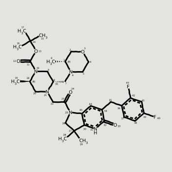 C[C@@H]1COCCN1C[C@H]1CN(C(=O)OC(C)(C)C)[C@H](C)CN1CC(=O)N1CC(C)(C)c2[nH]c(=O)c(Cc3ccc(F)cc3F)cc21